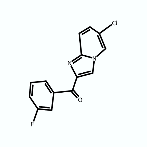 O=C(c1cccc(F)c1)c1cn2cc(Cl)ccc2n1